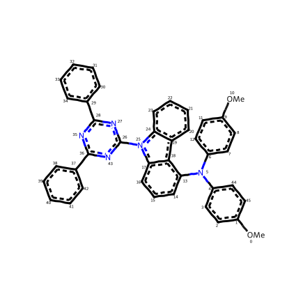 COc1ccc(N(c2ccc(OC)cc2)c2cccc3c2c2ccccc2n3-c2nc(-c3ccccc3)nc(-c3ccccc3)n2)cc1